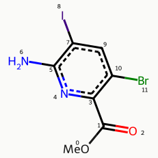 COC(=O)c1nc(N)c(I)cc1Br